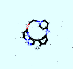 Cc1ccc2cc1-c1cnn3ccc(nc13)OCCN1CCC(CC1)N2